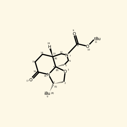 CC[C@@H](C)[C@H]1CO[C@]23CCN(C(=O)OC(C)(C)C)C[C@H]2CCC(=O)N13